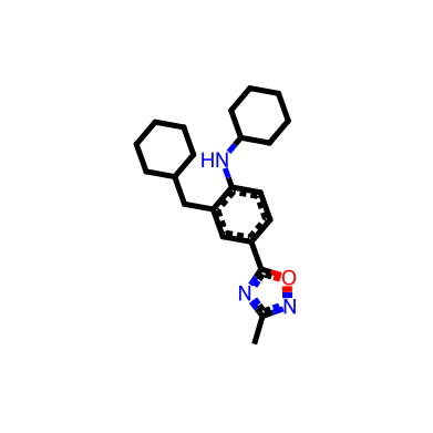 Cc1noc(-c2ccc(NC3CCCCC3)c(CC3CCCCC3)c2)n1